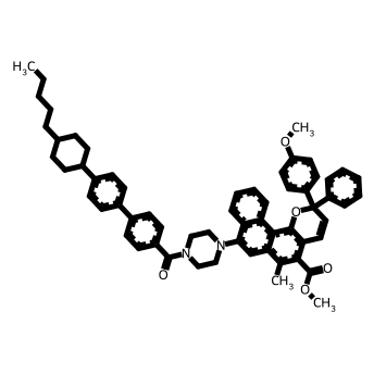 CCCCCC1CCC(c2ccc(-c3ccc(C(=O)N4CCN(c5cc6c(C)c(C(=O)OC)c7c(c6c6ccccc56)OC(c5ccccc5)(c5ccc(OC)cc5)C=C7)CC4)cc3)cc2)CC1